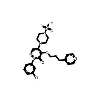 CC(C)S(=O)(=O)N1CCN(c2cnn(-c3cccc(Cl)c3)c(=O)c2OCCCc2ccncc2)CC1